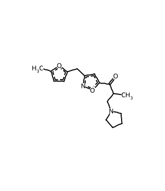 Cc1ccc(Cc2cc(C(=O)C(C)CN3CCCC3)on2)o1